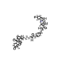 Cc1[nH]c(/C=C2\C(=O)Nc3ccc(F)cc32)c(C)c1C(=O)NCCCN1CCN(CC(=O)NCCCCCNc2cccc3c2C(=O)N(C2CCC(=O)N(C)C2=O)C3=O)CC1